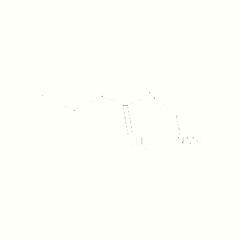 C=C(CCC(C)=O)/N=C\NC